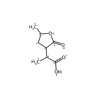 CC1CC(C(C)C(=O)O)C(=O)O1